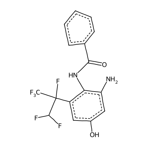 Nc1cc(O)cc(C(F)(C(F)F)C(F)(F)F)c1NC(=O)c1ccccc1